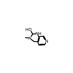 CN1Cc2ccncc2NC1O